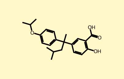 CC(C)CC(C)(c1ccc(OC(C)C)cc1)c1ccc(O)c(C(=O)O)c1